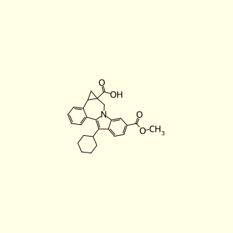 COC(=O)c1ccc2c(C3CCCCC3)c3n(c2c1)CC1(C(=O)O)CC1c1ccccc1-3